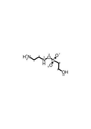 NCCNOS(=O)(=O)CCO